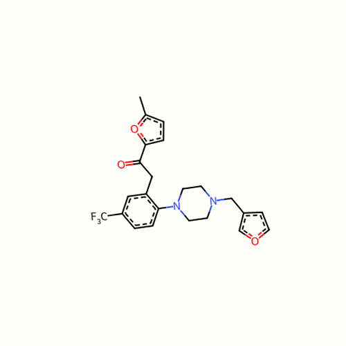 Cc1ccc(C(=O)Cc2cc(C(F)(F)F)ccc2N2CCN(Cc3ccoc3)CC2)o1